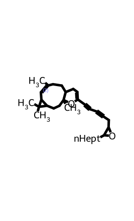 CCCCCCCC1OC1CC#CC#CC1=CCC2CC/C(C)=C\C3C(CCC2(C)O1)C3(C)C